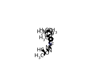 C#CC(CC)Oc1cnc(/C(F)=C/c2ccc(F)c(C3(C)CS(=O)(=O)C(C)(C)C(N)=N3)c2)cn1